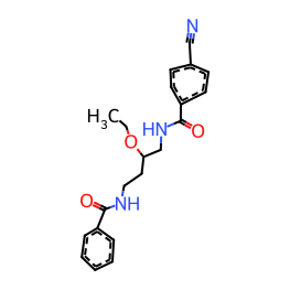 CCOC(CCNC(=O)c1ccccc1)CNC(=O)c1ccc(C#N)cc1